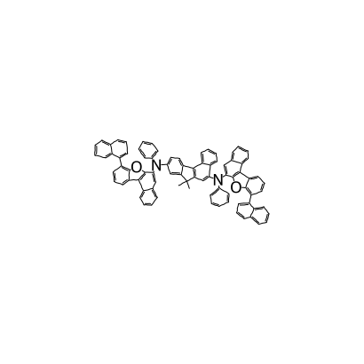 CC1(C)c2cc(N(c3ccccc3)c3cc4ccccc4c4c3oc3c(-c5cccc6ccccc56)cccc34)ccc2-c2c1cc(N(c1ccccc1)c1cc3ccccc3c3c1oc1c(-c4cccc5ccccc45)cccc13)c1ccccc21